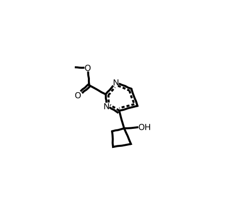 COC(=O)c1nccc(C2(O)CCC2)n1